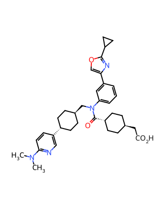 CN(C)c1ccc([C@H]2CC[C@H](CN(c3cccc(-c4coc(C5CC5)n4)c3)C(=O)[C@H]3CC[C@H](CC(=O)O)CC3)CC2)cn1